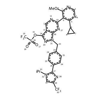 COc1ncnc(C2CC2)c1-c1ncc2c(OS(=O)(=O)C(F)(F)F)nn(Cc3ccc(-c4nc(C(F)(F)F)cn4C(C)C)cc3)c2n1